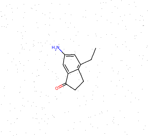 CCc1cc(N)cc2c1CCC2=O